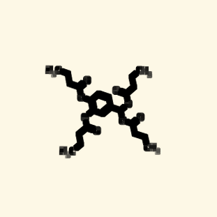 CCCC(=O)Oc1ccc(C(OC(=O)CCC)OC(=O)CCC)cc1OC(=O)CCC